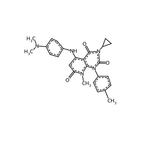 Cc1ccc(-n2c(=O)n(C3CC3)c(=O)c3c(Nc4ccc(N(C)C)cc4)cc(=O)n(C)c32)cc1